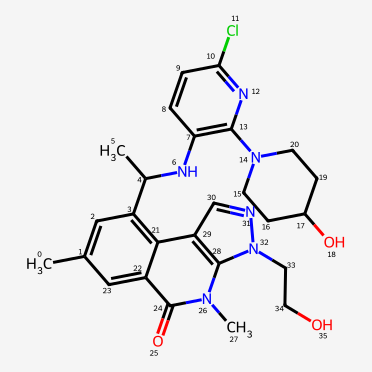 Cc1cc(C(C)Nc2ccc(Cl)nc2N2CCC(O)CC2)c2c(c1)c(=O)n(C)c1c2cnn1CCO